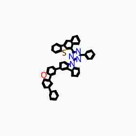 c1ccc(-c2ccc3oc4ccc(-c5ccc6c(c5)c5ccccc5n6-c5nc(-c6ccccc6)nc(-c6c7ccccc7cc7c6sc6ccccc67)n5)cc4c3c2)cc1